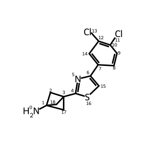 NC12CC(c3nc(-c4ccc(Cl)c(Cl)c4)cs3)(C1)C2